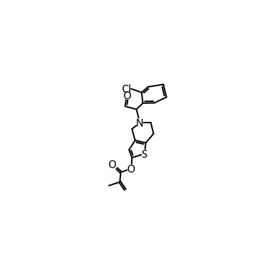 C=C(C)C(=O)Oc1cc2c(s1)CCN(C(C=O)c1ccccc1Cl)C2